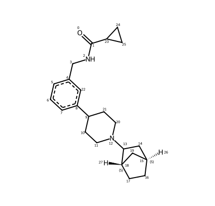 O=C(NCc1cccc(C2CCN(C3C[C@H]4CC[C@H]3C4)CC2)c1)C1CC1